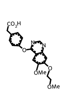 COCCOc1cc2ncnc(Oc3ccc(CC(=O)O)cc3)c2cc1OC